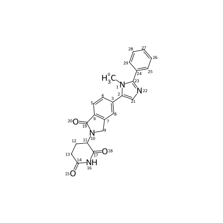 Cn1c(-c2ccc3c(c2)CN(C2CCC(=O)NC2=O)C3=O)cnc1-c1ccccc1